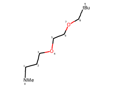 CNCCCOCCOCC(C)(C)C